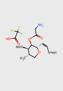 CCCCCCC/C=C\[C@@H]1OC[C@H](C)[C@@H](OC)[C@H]1OC(=O)CN.O=C(O)C(F)(F)F